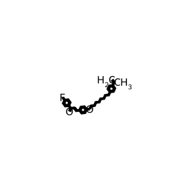 C=C(C)c1ccc(CCCCCCCCOc2ccc(C=CC(=O)c3ccc(F)cc3)cc2)cc1